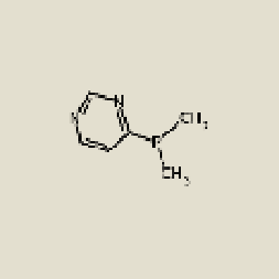 CP(C)c1ccncn1